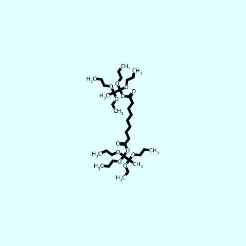 CCCOC(C)(OCC)C(OCCC)(OCCC)OC(=O)CCCCCCCC(=O)OC(OCCC)(OCCC)C(C)(OCC)OCCC